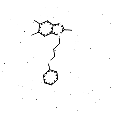 Cc1cc2sc(C)[n+](CCCOc3ccccc3)c2cc1C.[Br-]